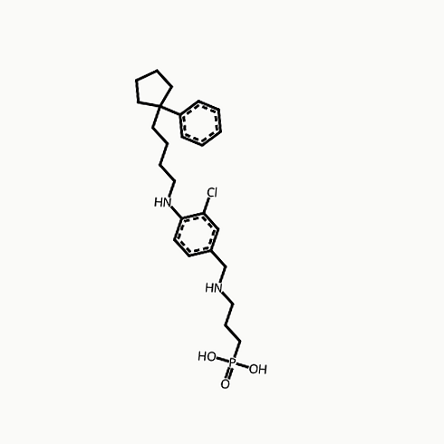 O=P(O)(O)CCCNCc1ccc(NCCCCC2(c3ccccc3)CCCC2)c(Cl)c1